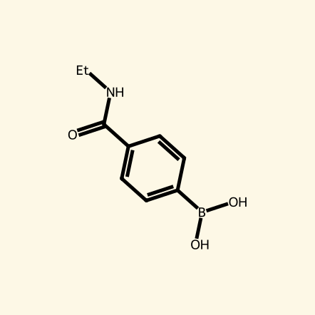 CCNC(=O)c1ccc(B(O)O)cc1